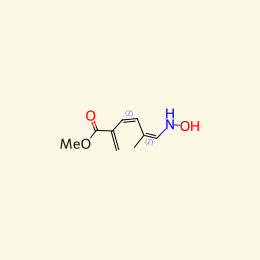 C=C(/C=C\C(C)=C/NO)C(=O)OC